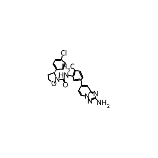 Cc1ccc(-c2ccn3nc(N)nc3c2)cc1NC(=O)N1OCC[C@H]1c1ccc(Cl)cc1